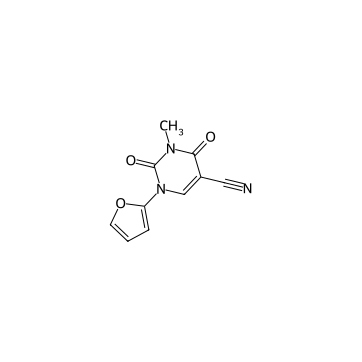 Cn1c(=O)c(C#N)cn(-c2ccco2)c1=O